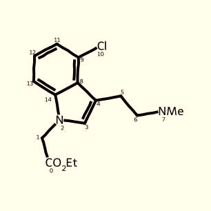 CCOC(=O)Cn1cc(CCNC)c2c(Cl)cccc21